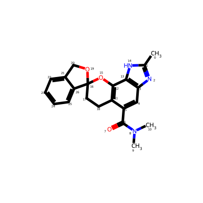 Cc1nc2cc(C(=O)N(C)C)c3c(c2[nH]1)OC1(CC3)OCc2ccccc21